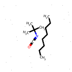 CC(C)(C)N=C=O.CCCCCCCC